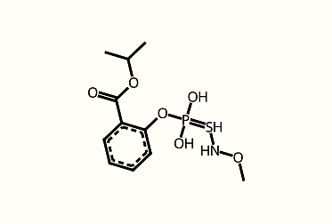 CON[SH]=P(O)(O)Oc1ccccc1C(=O)OC(C)C